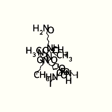 CCCCCC(=O)N1C(Cc2ccc(OP(=O)(OCNCCI)ONCCI)cc2)C(=O)N(C(C(=O)NCCCCCC(N)=O)C(C)CC)C12CCN(C)CC2